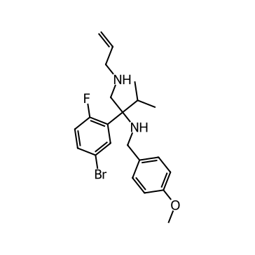 C=CCNCC(NCc1ccc(OC)cc1)(c1cc(Br)ccc1F)C(C)C